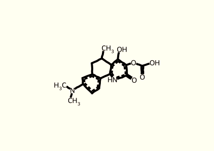 CC1Cc2cc(N(C)C)ccc2-c2[nH]c(=O)c(OC(=O)O)c(O)c21